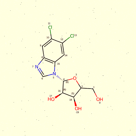 OCC1O[C@@H](n2cnc3cc(Cl)c(Cl)cc32)[C@H](O)[C@@H]1O